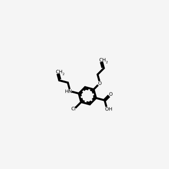 C=CCNc1cc(OCC=C)c(C(=O)O)cc1Cl